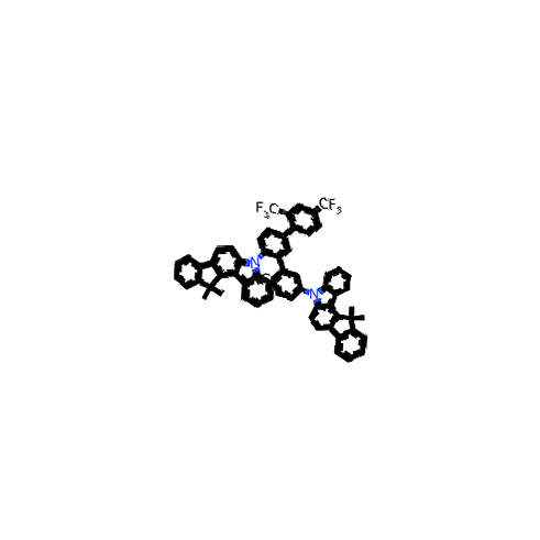 CC1(C)c2ccccc2-c2ccc3c(c21)c1ccccc1n3-c1ccc(C#N)c(-c2cc(-c3ccc(C(F)(F)F)cc3C(F)(F)F)ccc2-n2c3ccccc3c3c4c(ccc32)-c2ccccc2C4(C)C)c1